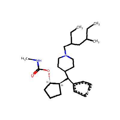 CCC(C)CC(CC)CN1CCC(C(c2ccccc2)[C@H]2CCC[C@@H]2OC(=O)NC)CC1